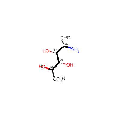 N[C@@H](C=O)[C@@H](O)[C@H](O)[C@H](O)C(=O)O